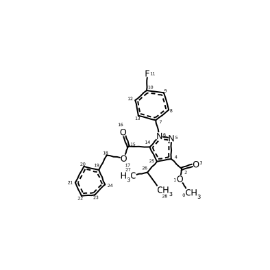 COC(=O)c1nn(-c2ccc(F)cc2)c(C(=O)OCc2ccccc2)c1C(C)C